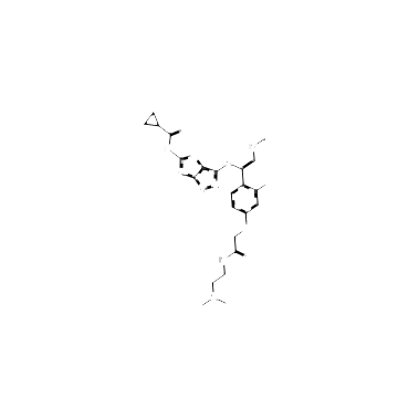 CN(C)CCNC(=O)COc1ccc(/C(=C/NI)Nc2n[nH]c3nc(NC(=O)C4CC4)sc23)c(Cl)c1